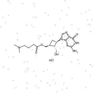 CN(C)CCCC(=O)OC[C@H]1C[C@@H](n2cnc3c(=O)[nH]c(N)nc32)[C@@H]1CO.Cl